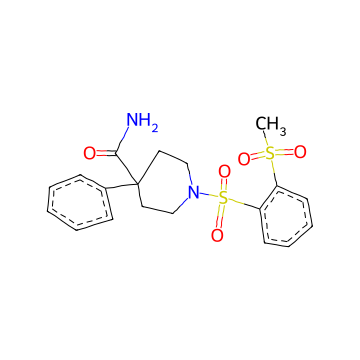 CS(=O)(=O)c1ccccc1S(=O)(=O)N1CCC(C(N)=O)(c2ccccc2)CC1